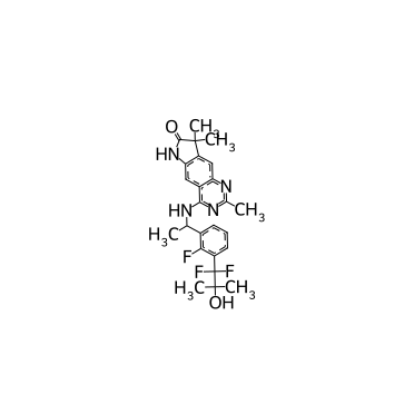 Cc1nc(NC(C)c2cccc(C(F)(F)C(C)(C)O)c2F)c2cc3c(cc2n1)C(C)(C)C(=O)N3